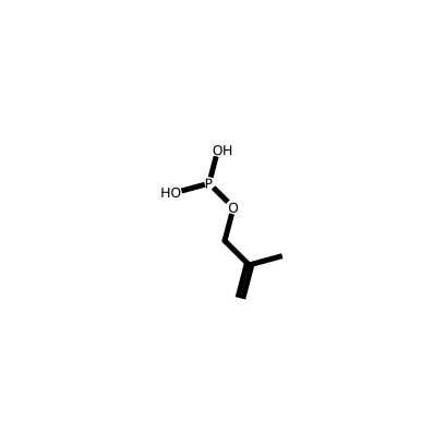 C=C(C)COP(O)O